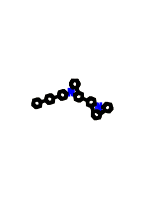 c1ccc(-c2ccc(-c3ccc(-n4c5ccccc5c5cc(-c6ccc7c(c6)c6cccc8c9ccccc9n7c86)ccc54)cc3)cc2)cc1